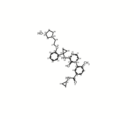 Cc1ccc(C(=O)NC2CC2)cc1-n1ccnc(NC2(c3ccccc3OCCN3CC[C@@H](O)C3)CC2)c1=O